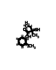 CCC(C)(S)C(=O)O.Cc1ccccc1